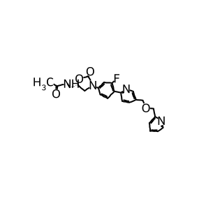 CC(=O)NC[C@H]1CN(c2ccc(-c3ccc(COCc4ccccn4)cn3)c(F)c2)C(=O)O1